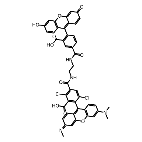 C/N=c1/ccc2c(-c3c(Cl)cc(C(=O)NCCNC(=O)c4ccc(-c5c6ccc(=O)cc-6oc6cc(O)ccc56)c(C(=O)O)c4)c(Cl)c3C(=O)O)c3ccc(N(C)C)cc3oc-2c1